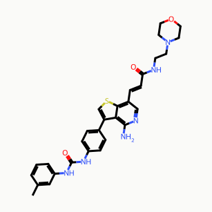 Cc1cccc(NC(=O)Nc2ccc(-c3csc4c(/C=C/C(=O)NCCN5CCOCC5)cnc(N)c34)cc2)c1